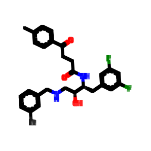 CCc1cccc(CNC[C@H](O)[C@H](Cc2cc(F)cc(F)c2)NC(=O)CCC(=O)c2ccc(C)cc2)c1